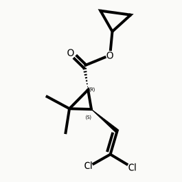 CC1(C)[C@H](C=C(Cl)Cl)[C@H]1C(=O)OC1CC1